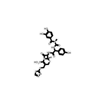 CN(C(=O)NC(C(=O)NC1C(=O)N2C(C(=O)O)=C(CSc3nncs3)CS[C@@H]12)c1ccc(O)cc1)C(=O)c1ccc(O)c(O)c1